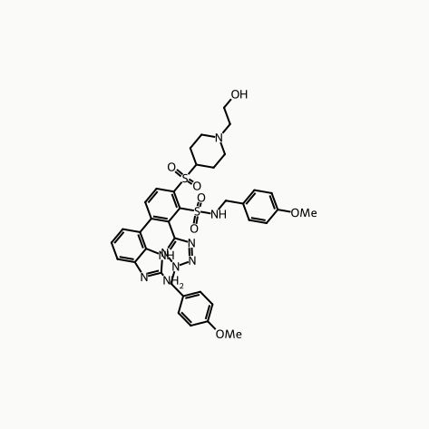 COc1ccc(CNS(=O)(=O)c2c(S(=O)(=O)C3CCN(CCO)CC3)ccc(-c3cccc4nc(N)[nH]c34)c2-c2nnn(Cc3ccc(OC)cc3)n2)cc1